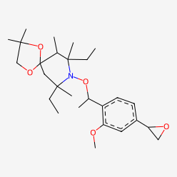 CCC1(C)CC2(OCC(C)(C)O2)C(C)C(C)(CC)N1OC(C)c1ccc(C2CO2)cc1OC